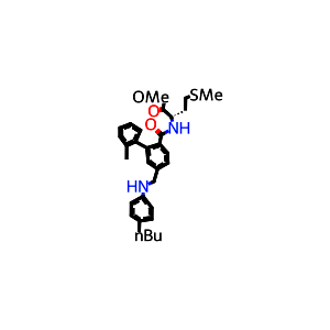 CCCCc1ccc(NCc2ccc(C(=O)N[C@@H](CCSC)C(=O)OC)c(-c3ccccc3C)c2)cc1